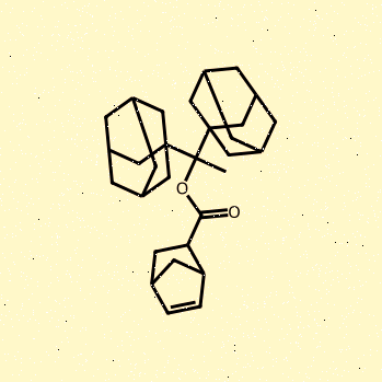 CC(OC(=O)C1CC2C=CC1C2)(C12CC3CC(CC(C3)C1)C2)C12CC3CC(CC(C3)C1)C2